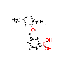 Cc1ccc(C)c(OCc2cccc(B(O)O)c2)c1